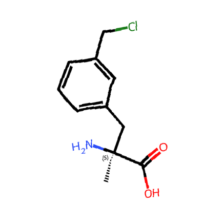 C[C@](N)(Cc1cccc(CCl)c1)C(=O)O